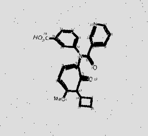 COC1=CC=C(N(C(=O)c2cccnc2)c2cccc(C(=O)O)c2)C(=O)C1C1CCC1